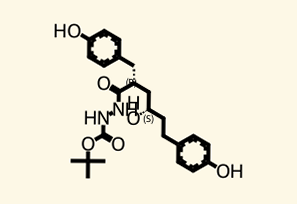 CC(C)(C)OC(=O)NNC(=O)[C@H](Cc1ccc(O)cc1)C[C@@H](O)CCc1ccc(O)cc1